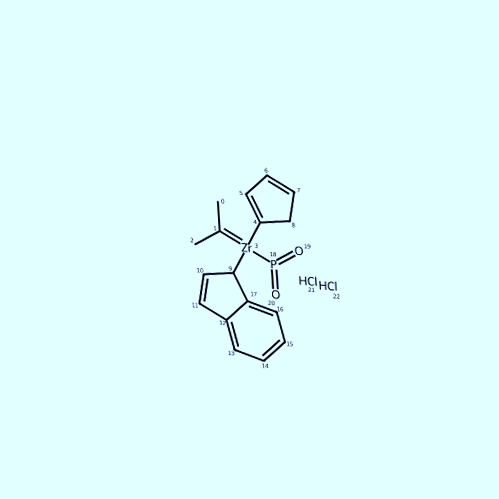 C[C](C)=[Zr]([C]1=CC=CC1)([CH]1C=Cc2ccccc21)[P](=O)=O.Cl.Cl